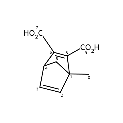 CC12C=CC(C1)C(C(=O)O)=C2C(=O)O